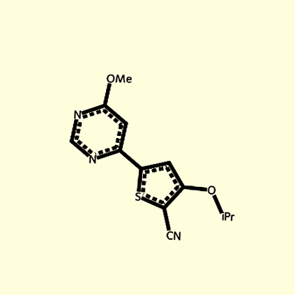 COc1cc(-c2cc(OC(C)C)c(C#N)s2)ncn1